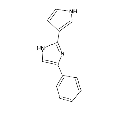 c1ccc(-c2c[nH]c(-c3cc[nH]c3)n2)cc1